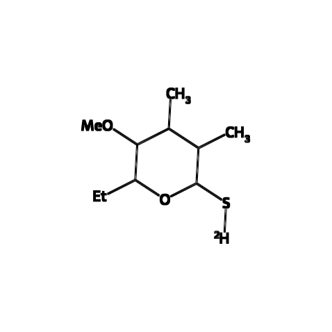 [2H]SC1OC(CC)C(OC)C(C)C1C